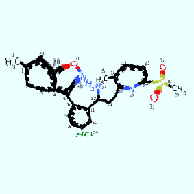 Cc1ccc2c(-c3ccccc3C(N)Cc3nc(S(C)(=O)=O)ccc3C)noc2c1.Cl